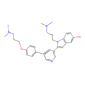 CN(C)CCCOc1ccc(-c2cncc(-c3cc4cc(O)ccc4n3CCCN(C)C)c2)cc1